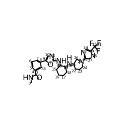 CNC(=O)c1cccc(-c2cnc(N[C@@H]3CCCC[C@H]3N[C@H]3CCCN(c4cnc(C(F)(F)F)cn4)C3)o2)c1